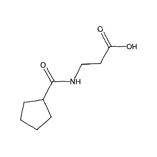 O=C(O)CCNC(=O)C1CCCC1